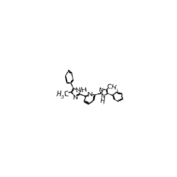 Cc1nc(-c2cccc(-c3nc(C)c(-c4ccccc4)[nH]3)n2)[nH]c1-c1ccccc1